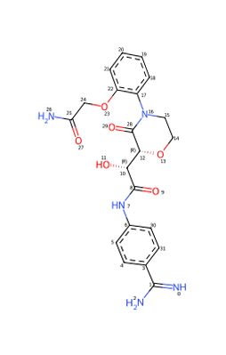 N=C(N)c1ccc(NC(=O)[C@H](O)[C@H]2OCCN(c3ccccc3OCC(N)=O)C2=O)cc1